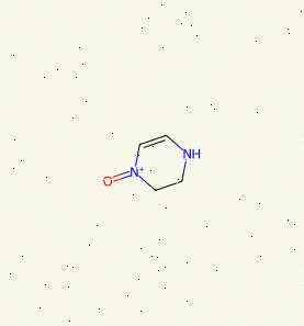 O=[N+]1C=CNCC1